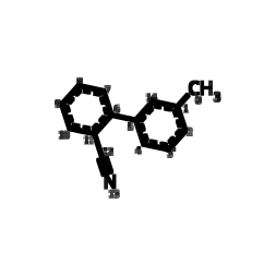 Cc1c[c]cc(-c2ccccc2C#N)c1